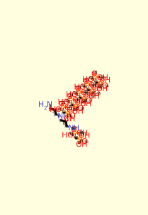 NCCCNCCCN.O=P(O)(O)CP(=O)(O)O.O=P(O)(O)CP(=O)(O)O.O=P(O)(O)CP(=O)(O)O.O=P(O)(O)CP(=O)(O)O.O=P(O)(O)CP(=O)(O)O.O=P(O)(O)CP(=O)(O)O